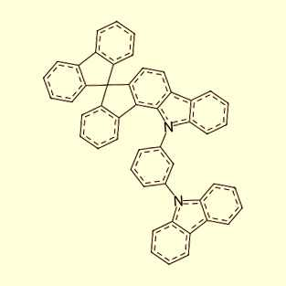 c1cc(-n2c3ccccc3c3ccccc32)cc(-n2c3ccccc3c3ccc4c(c32)-c2ccccc2C42c3ccccc3-c3ccccc32)c1